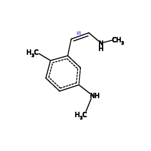 CN/C=C\c1cc(NC)ccc1C